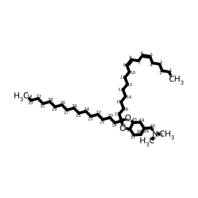 CCCCC/C=C\C/C=C\CCCCCCCCC1(CCCCCCCCCCCCCCCC)OC2CCC(CN(C)C)CC2O1